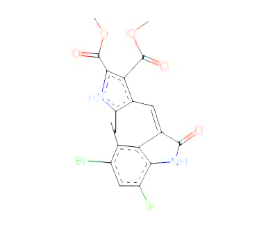 COC(=O)c1[nH]c(C)c(C=C2C(=O)Nc3c(Br)cc(Br)c(C)c32)c1C(=O)OC